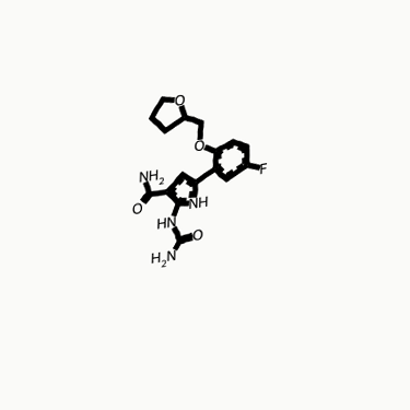 NC(=O)Nc1[nH]c(-c2cc(F)ccc2OCC2CCCO2)cc1C(N)=O